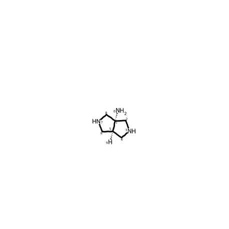 N[C@]12CNC[C@H]1CNC2